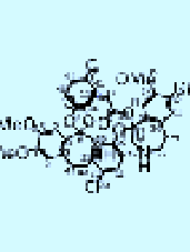 COc1cc2c(cc1OC)C(OC(=O)/C=C\C(=O)OC1(Oc3ccc(Cl)cc3)CNCCc3cc(OC)c(OC)cc31)(Oc1ccc(Cl)cc1)CNCC2